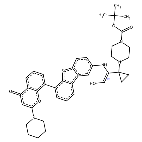 CC(C)(C)OC(=O)N1CCN(C2(/C(=C/O)Nc3ccc4sc5c(-c6cccc7c(=O)cc(N8CCCCC8)oc67)cccc5c4c3)CC2)CC1